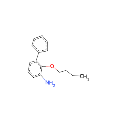 CCCCOc1c(N)cccc1-c1ccccc1